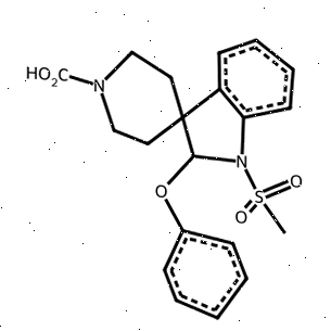 CS(=O)(=O)N1c2ccccc2C2(CCN(C(=O)O)CC2)C1Oc1ccccc1